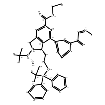 C=C(/C=N\C)c1cccc(-c2nc(C(=O)OCC)cc3c2[C@@H](CCO[Si](c2ccccc2)(c2ccccc2)C(C)(C)C)N([S@+]([O-])C(C)(C)C)C3)c1